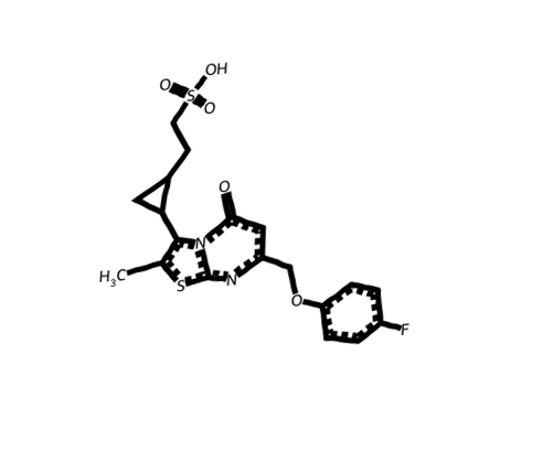 Cc1sc2nc(COc3ccc(F)cc3)cc(=O)n2c1C1CC1CCS(=O)(=O)O